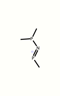 C/P=N/P(C)C